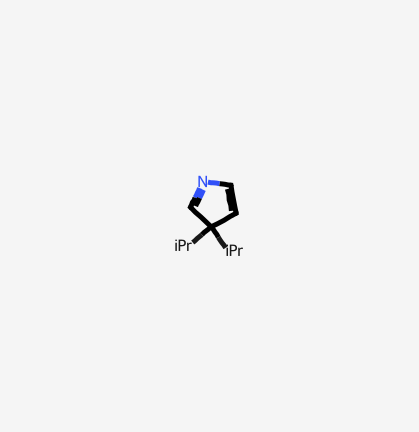 CC(C)C1(C(C)C)C=CN=C1